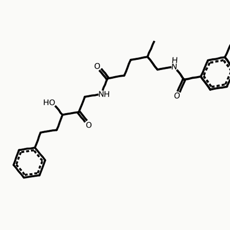 CC(CCC(=O)NCC(=O)C(O)CCc1ccccc1)CNC(=O)c1cccc(F)c1